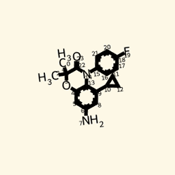 CC1(C)Oc2cc(N)cc(C3CC3)c2N(c2ccc(F)cc2)C1=O